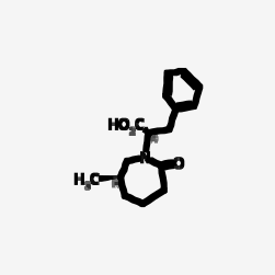 C[C@@H]1CCCC(=O)N([C@H](Cc2ccccc2)C(=O)O)C1